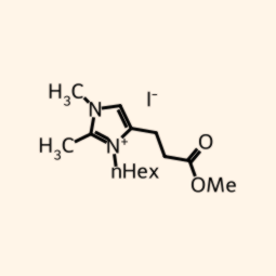 CCCCCC[n+]1c(CCC(=O)OC)cn(C)c1C.[I-]